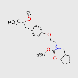 CCCCOC(=O)N(CCOc1ccc(CC(OCC)C(=O)O)cc1)CC1CCCC1